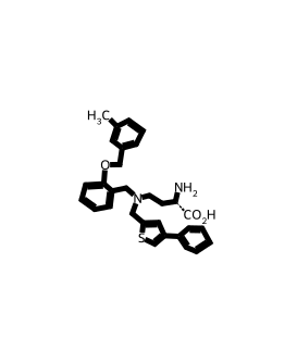 Cc1cccc(COc2ccccc2CN(CC[C@H](N)C(=O)O)Cc2cc(-c3ccccc3)cs2)c1